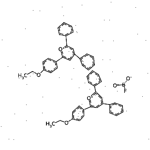 CCOc1ccc(-c2cc(-c3ccccc3)cc(-c3ccccc3)[o+]2)cc1.CCOc1ccc(-c2cc(-c3ccccc3)cc(-c3ccccc3)[o+]2)cc1.[O-]B([O-])F